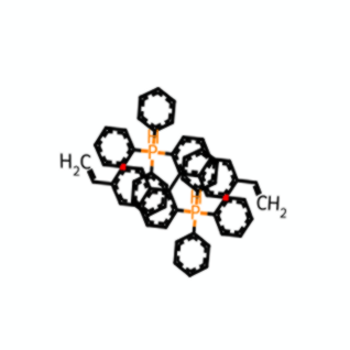 C=Cc1ccc2c(-c3c([PH](c4ccccc4)(c4ccccc4)c4ccccc4)ccc4cc(C=C)ccc34)c([PH](c3ccccc3)(c3ccccc3)c3ccccc3)ccc2c1